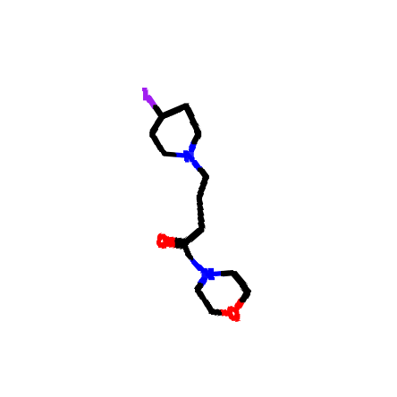 O=C(CCCN1CCC(I)CC1)N1CCOCC1